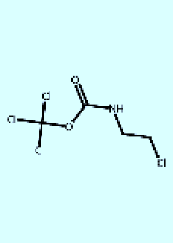 O=C(NCCCl)OC(Cl)(Cl)Cl